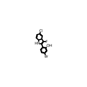 Oc1cc(Br)ccc1C1=C(F)C2C=C(Cl)C=CC2N1